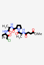 COC(=O)CCC(=O)N[C@H](C)C(=O)N1CCCC1C(=O)N[C@@H](C)C(=O)NC(CC(C)C)C(=O)CCl